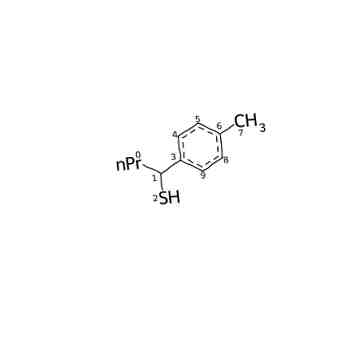 CCCC(S)c1ccc(C)cc1